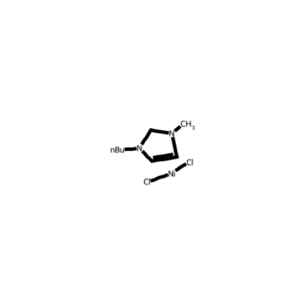 CCCCN1C=CN(C)C1.[Cl][Ni][Cl]